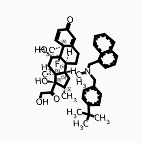 CN(Cc1ccc(C(C)(C)C)cc1)Cc1cccc2ccccc12.C[C@H]1C[C@H]2[C@@H]3CCC4=CC(=O)C=C[C@]4(C)[C@@]3(F)[C@@H](O)C[C@]2(C)[C@@]1(O)C(=O)CO